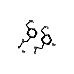 NCc1cccc(CNCl)c1.NCc1cccc(CNCl)c1.[Na].[Na]